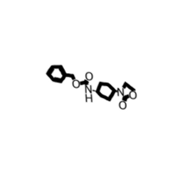 O=C(N[C@H]1CC[C@H](N2CCOC2=O)CC1)OCc1ccccc1